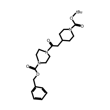 CC(C)(C)OC(=O)N1CCC(CC(=O)N2CCN(C(=O)OCc3ccccc3)CC2)CC1